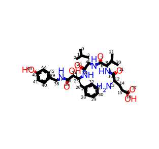 CC(C)C[C@H](NC(=O)[C@@H](NC(=O)[C@@H](N)CCC(=O)O)C(C)C)C(=O)N[C@@H](Cc1ccccc1)[C@@H](O)C(=O)NCc1ccc(O)cc1